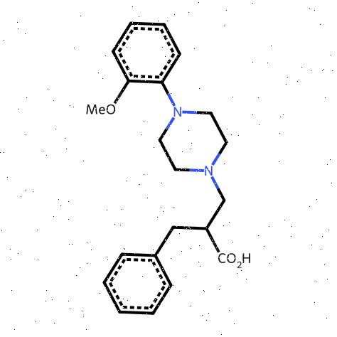 COc1ccccc1N1CCN(CC(Cc2ccccc2)C(=O)O)CC1